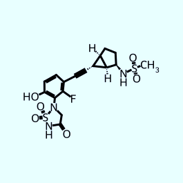 CS(=O)(=O)N[C@@H]1CC[C@@H]2[C@@H](C#Cc3ccc(O)c(N4CC(=O)NS4(=O)=O)c3F)[C@@H]21